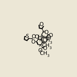 COC(=O)[C@@H]1C=C(OC(=O)c2cccs2)C(=O)[C@H]2[C@@]1(C)CC[C@H]1C(=O)O[C@H](c3ccoc3)C[C@]21C